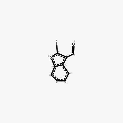 O=Cc1c(I)sc2ccccc12